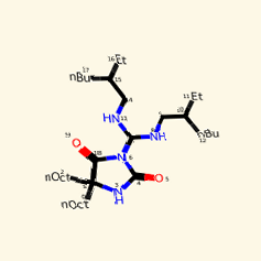 CCCCCCCCC1(CCCCCCCC)NC(=O)N(C(NCC(CC)CCCC)NCC(CC)CCCC)C1=O